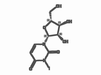 O=c1ccn([C@@H]2O[C@H](CO)[C@@H](O)[C@H]2O)c(=O)n1I